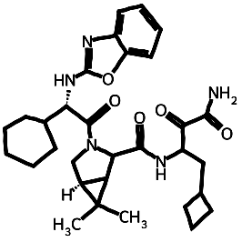 CC1(C)C2C(C(=O)NC(CC3CCC3)C(=O)C(N)=O)N(C(=O)[C@@H](Nc3nc4ccccc4o3)C3CCCCC3)C[C@@H]21